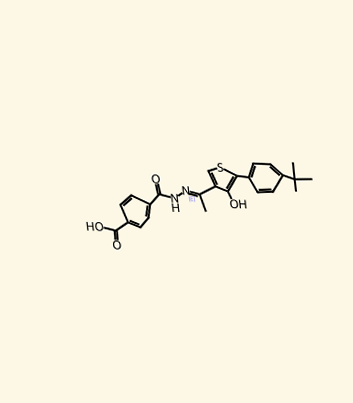 C/C(=N\NC(=O)c1ccc(C(=O)O)cc1)c1csc(-c2ccc(C(C)(C)C)cc2)c1O